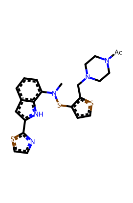 CC(=O)N1CCN(Cc2sccc2SN(C)c2cccc3cc(-c4nccs4)[nH]c23)CC1